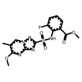 COC(=O)c1cccc(F)c1NS(=O)(=O)c1nc2nc(OC)c(C)cn2n1